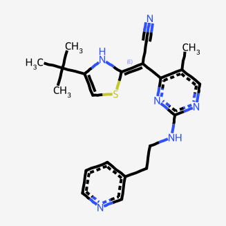 Cc1cnc(NCCc2cccnc2)nc1/C(C#N)=C1/NC(C(C)(C)C)=CS1